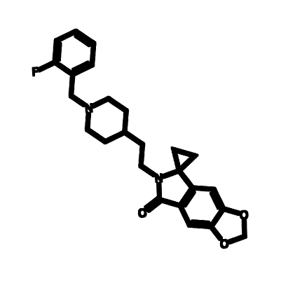 O=C1c2cc3c(cc2C2(CC2)N1CCC1CCN(Cc2ccccc2F)CC1)OCO3